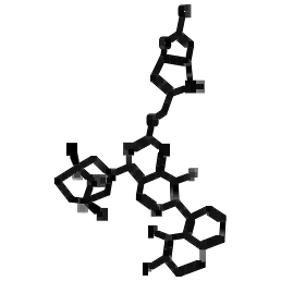 Fc1ccc2cccc(-c3ncc4c(N5C[C@H]6CC[C@@H](C5)N6)nc(OCc5cc6oc(Cl)cc6[nH]5)nc4c3F)c2c1F